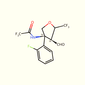 O=C[C@@H]1C(C(F)(F)F)OC[C@@]1(NC(=O)C(F)(F)F)c1ccccc1F